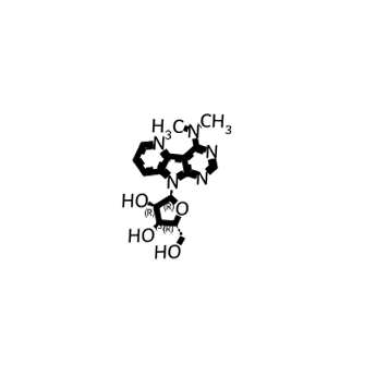 CN(C)c1ncnc2c1c1ncccc1n2[C@@H]1O[C@H](CO)[C@@H](O)[C@H]1O